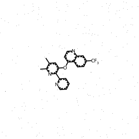 Cc1cc(Oc2ccnc3cc(C(F)(F)F)ccc23)c(-c2ccccn2)nc1C